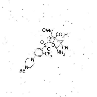 CO[C@@H]1C[C@H](S(=O)(=O)c2ccc(N3CCN(C(C)=O)CC3)cc2C(F)(F)F)C[C@@]1(C(=O)O)C1CC1(C#N)C(N)=O